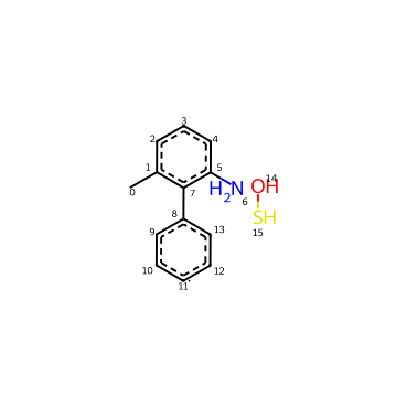 Cc1cccc(N)c1-c1cc[c]cc1.OS